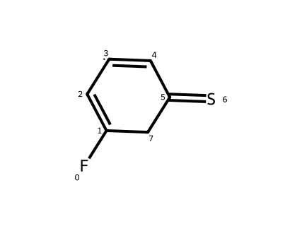 FC1=C[C]=CC(=S)C1